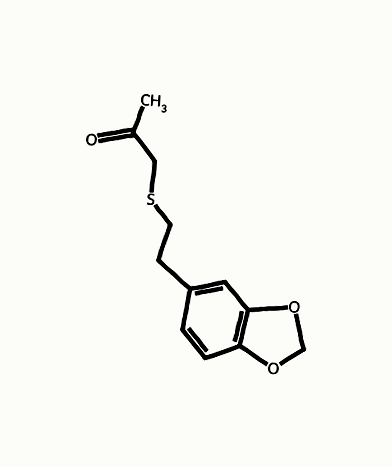 CC(=O)CSCCc1ccc2c(c1)OCO2